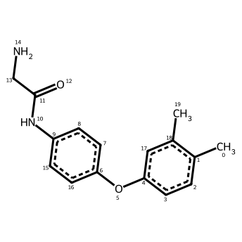 Cc1ccc(Oc2ccc(NC(=O)CN)cc2)cc1C